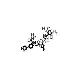 C=C/C=C(\C(Cl)=C/C)c1nsc(NC(=O)C2C[C@@H](F)CN2C(=O)Cn2nc(C(N)=O)c3cc(-c4ccnnc4)ccc32)n1